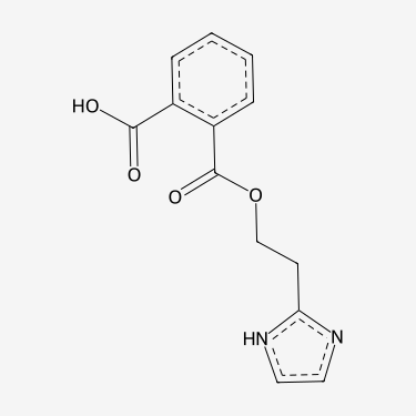 O=C(O)c1ccccc1C(=O)OCCc1ncc[nH]1